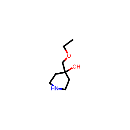 CCOCC1(O)CCNCC1